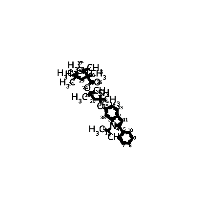 CC(C)n1c(-c2ccccc2)cc2ccc(OC(C)(S)CC(C)(C)OC(=O)C(C)(CC(C)(C)C)C(C)(C)C)cc21